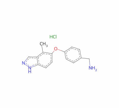 Cc1c(Oc2ccc(CN)cc2)ccc2[nH]ncc12.Cl